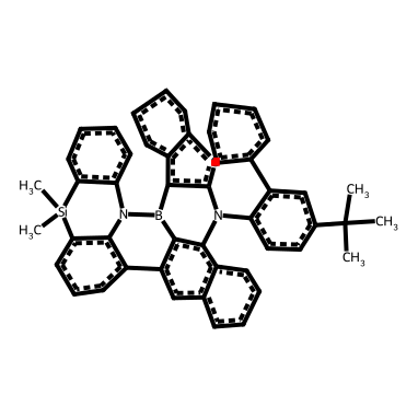 CC(C)(C)c1ccc(N2c3oc4ccccc4c3B3c4c(cc5ccccc5c42)-c2cccc4c2N3c2ccccc2[Si]4(C)C)c(-c2ccccc2)c1